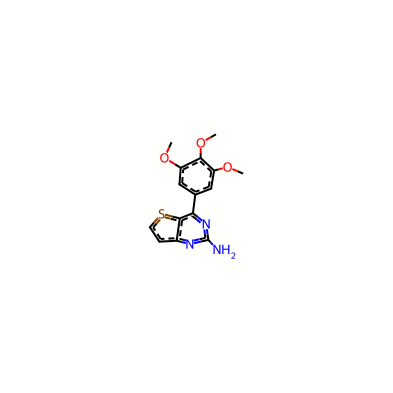 COc1cc(-c2nc(N)nc3ccsc23)cc(OC)c1OC